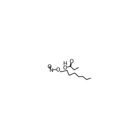 CCC(=O)O.CCCCCCCCON=O